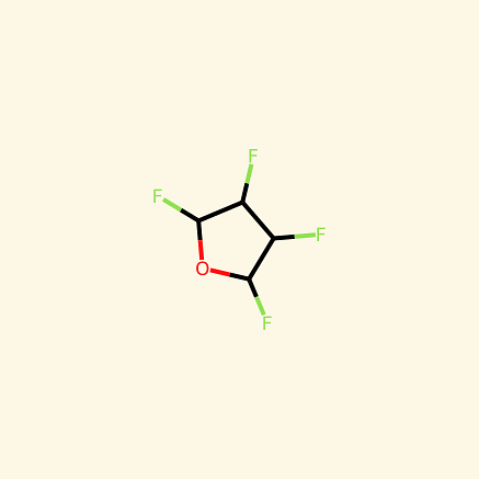 FC1OC(F)C(F)C1F